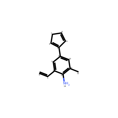 C=Cc1cc(C2=CCC=C2)cc(C)c1N